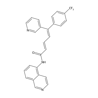 O=C(C=CC=C(c1ccc(C(F)(F)F)cc1)c1cccnc1)Nc1cccc2cnccc12